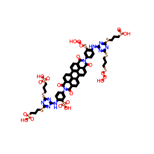 O=C1c2ccc3c4ccc5c6c(ccc(c7ccc(c2c37)C(=O)N1c1ccc(Nc2nc(SCCCSOOO)nc(SCCCS(=O)O)n2)c(SOOO)c1)c64)C(=O)N(c1ccc(Nc2nc(SCCCS(=O)(=O)O)nc(SCCCS(=O)(=O)O)n2)c(S(=O)(=O)O)c1)C5=O